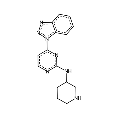 c1ccc2c(c1)nnn2-c1ccnc(NC2CCCNC2)n1